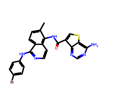 Cc1ccc2c(Nc3ccc(Br)cc3)nccc2c1NC(=O)c1csc2c(N)ncnc12